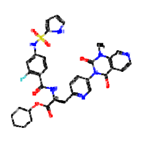 Cn1c(=O)n(-c2ccc(C[C@H](NC(=O)c3ccc(NS(=O)(=O)c4ccc[nH]4)cc3F)C(=O)OC3CCCCC3)nc2)c(=O)c2ccncc21